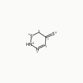 S=C1C=NNSC1